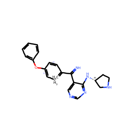 C=C(/C=C\C(=C/C)Oc1ccccc1)C(=N)c1cncnc1N[C@@H]1CCNC1